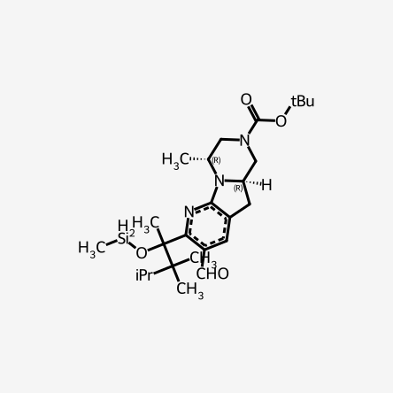 C[SiH2]OC(C)(c1nc2c(cc1C=O)C[C@@H]1CN(C(=O)OC(C)(C)C)C[C@@H](C)N21)C(C)(C)C(C)C